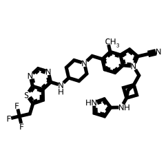 Cc1c(CN2CCC(Nc3ncnc4sc(CC(F)(F)F)cc34)CC2)ccc2c1cc(C#N)n2CC12CC(Nc3cc[nH]c3)(C1)C2